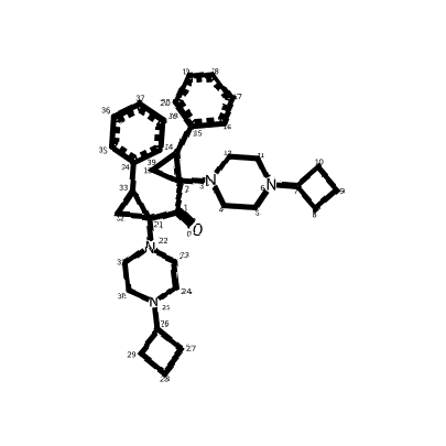 O=C(C1(N2CCN(C3CCC3)CC2)CC1c1ccccc1)C1(N2CCN(C3CCC3)CC2)CC1c1ccccc1